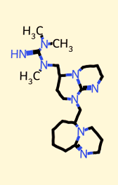 CN(C)C(=N)N(C)CC1CCN(CC2CCCCC3=NCCCN32)C2=NCCCN21